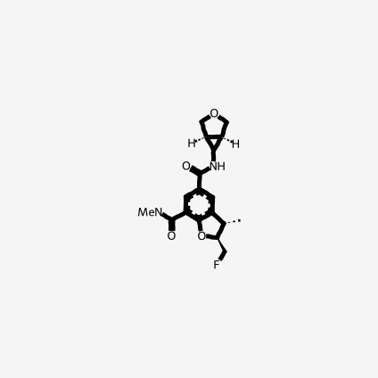 CNC(=O)c1cc(C(=O)NC2[C@H]3COC[C@@H]23)cc2c1O[C@H](CF)[C@H]2C